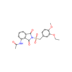 CCOc1cc(CS(=O)(=O)N2C(=O)c3cccc(NC(C)=O)c3C2=O)ccc1OC